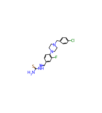 NC(=S)NN=Cc1ccc(N2CCN(Cc3ccc(Cl)cc3)CC2)c(F)c1